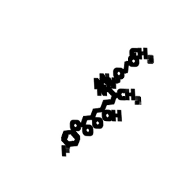 C=C(C=CC(O)CC(=O)CC(=O)Oc1ccc(F)cc1)c1nnnn1COCCOC